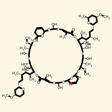 CO[C@@H]1C[C@H](CC[C@H](C)[C@H](O)[C@H](C)[C@H]2OC(=O)/C(C)=C/C[C@H](O)C[C@@H]3C=CC[C@@H](C[C@H](OC)[C@@H](C)[C@@H](O)C[C@@H](O)[C@H](C)[C@@H]([C@@H](C)[C@@H](O)[C@@H](C)CC[C@H]4C[C@@H](OC)CCO4)OC(=O)/C(C)=C/C[C@H](O)C[C@@H]4C=CC[C@@H](C[C@H](OC)[C@@H](C)[C@@H](O)C[C@@H](O)[C@@H]2C)O4)O3)O[C@@H](C)C1